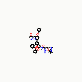 CNC[C@@H](C[C@H](NC)C(=O)N(C)[C@@H](Cc1cc(-c2ccc(OCc3ccccc3)c(C[C@H](NC)C(C)=O)c2)ccc1OCc1ccccc1)C(=O)OCc1ccccc1)O[Si](C)(C)C(C)(C)C